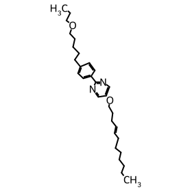 CCCCCCCC=CCCCOc1cnc(-c2ccc(CCCCCOCCC)cc2)nc1